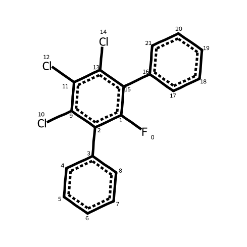 Fc1c(-c2ccccc2)c(Cl)c(Cl)c(Cl)c1-c1ccccc1